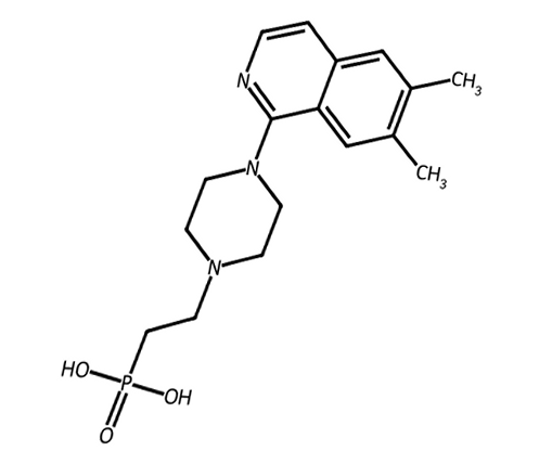 Cc1cc2ccnc(N3CCN(CCP(=O)(O)O)CC3)c2cc1C